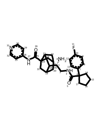 N[C@H](CNC(=O)C1(c2ccc(F)cc2)CCCC1)C1C2CC3CC1C(C(=O)Nc1ccncc1)(C3)C2